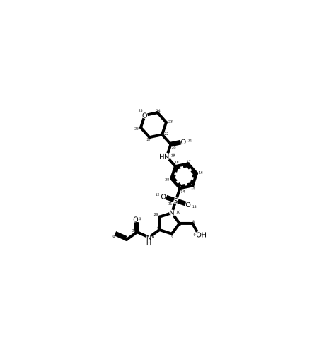 C=CC(=O)NC1CC(CO)N(S(=O)(=O)c2cccc(NC(=O)C3CCOCC3)c2)C1